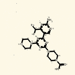 CCCC(=O)N1CCN(c2nc(-c3cnc(N)nc3C(F)F)nc(N3CCOCC3)n2)CC1